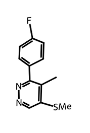 CSc1cnnc(-c2ccc(F)cc2)c1C